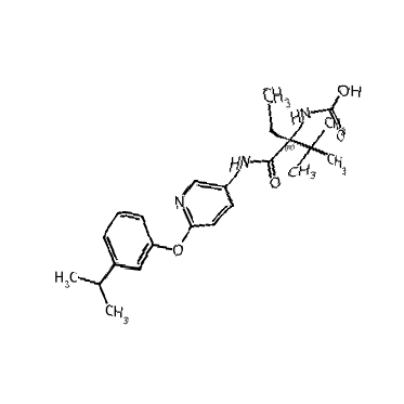 CC[C@](NC(=O)O)(C(=O)Nc1ccc(Oc2cccc(C(C)C)c2)nc1)C(C)(C)C